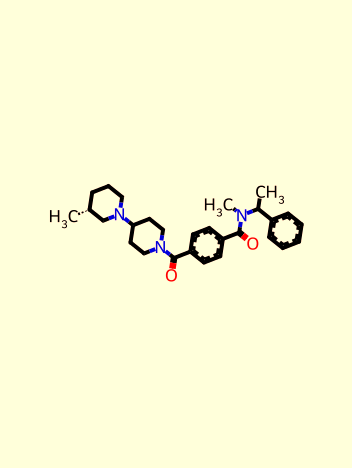 CC(c1ccccc1)N(C)C(=O)c1ccc(C(=O)N2CCC(N3CCC[C@@H](C)C3)CC2)cc1